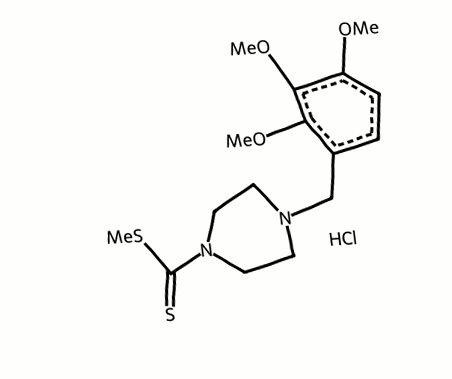 COc1ccc(CN2CCN(C(=S)SC)CC2)c(OC)c1OC.Cl